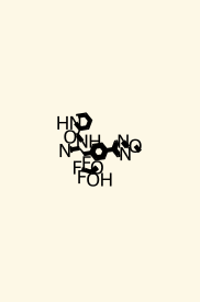 COc1ncc(-c2ccc(C[C@@H](C#N)NC(=O)[C@@H]3CCCCN3)cc2)cn1.O=C(O)C(F)(F)F